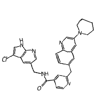 O=C(NCc1cnc2[nH]cc(Cl)c2c1)c1ccnc(Cc2ccc3ncc(N4CCCCC4)cc3c2)c1